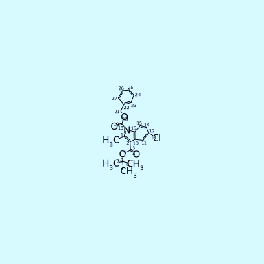 Cc1c(C(=O)OC(C)(C)C)c2cc(Cl)ccc2n1C(=O)OCc1ccccc1